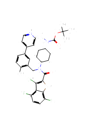 Cc1ccc(-c2ccncc2)cc1CN(C(=O)c1sc2c(F)ccc(F)c2c1Cl)[C@H]1CC[C@H](N(C)C(=O)OC(C)(C)C)CC1